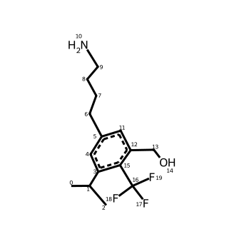 CC(C)c1cc(CCCCN)cc(CO)c1C(F)(F)F